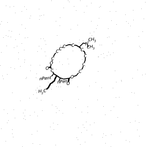 C=C=C=C=C1C(CCCCC)CC(=O)OCCCCCCCCC(CN(C)C)CCCCCCCCOC(=O)CC1CCCCC